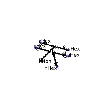 CCCCCC/C=C\COC(=O)CCCCCCCCN(CCCCCCCCC(=O)OC/C=C\CCCCCC)CCN(CCN(CCCCCCCCC(=O)OC/C=C\CCCCCC)CCCCCCCCC(=O)OC/C=C\CCCCCC)CCN(CCCCCCCCC(=O)OC/C=C\CCCCCC)CCCCCCCCC(=O)OCCCCCCCCC